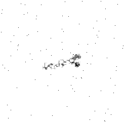 C=C1/C(=C\C=C2/CCC[C@]3(C)[C@@H]([C@@H](C)CN4CCC(C(F)(F)F)CC4)CC[C@@H]23)CC(O[Si](C)(C)C(C)(C)C)CC1O[Si](C)(C)C(C)(C)C